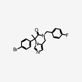 CC1(c2ccc(Br)cc2)C(=O)N(Cc2ccc(F)cc2)Cc2cncn21